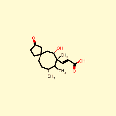 CC1[C@H](C)CC[C@]2(CCC(=O)C2)C[C@H](O)[C@]1(C)/C=C/C(=O)O